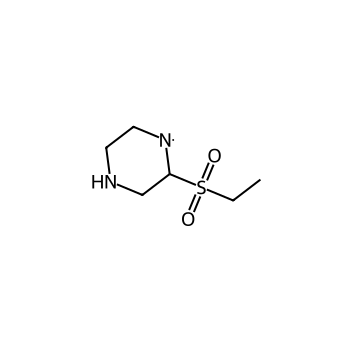 CCS(=O)(=O)C1CNCC[N]1